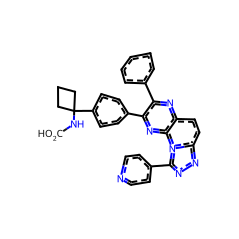 O=C(O)NC1(c2ccc(-c3nc4c(ccc5nnc(-c6ccncc6)n54)nc3-c3ccccc3)cc2)CCC1